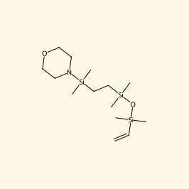 C=C[Si](C)(C)O[Si](C)(C)CC[Si](C)(C)N1CCOCC1